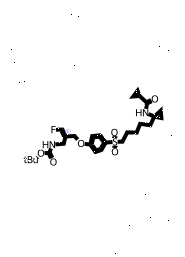 CC(C)(C)OC(=O)NC/C(=C\F)COc1ccc(S(=O)(=O)CCCCCC2(NC(=O)C3CC3)CC2)cc1